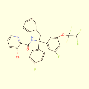 O=C(NC(Cc1ccccc1)(c1ccc(F)cc1)c1cc(F)cc(OC(F)(F)C(F)F)c1)c1ncccc1O